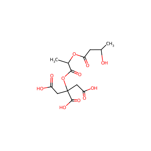 CC(O)CC(=O)OC(C)C(=O)OC(CC(=O)O)(CC(=O)O)C(=O)O